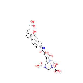 CC(CCC(=O)O)[C@H]1CCC2C3CC[C@@H]4C[C@@H](NC(=O)CCCCC5(N(CC(=O)O)CC(=O)O)CN(CC(=O)O)CCN(CC(=O)O)C5)CC[C@]4(C)C3C[C@H](O)[C@@]21C